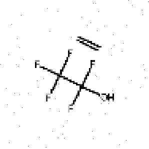 C=C.OC(F)(F)C(F)(F)F